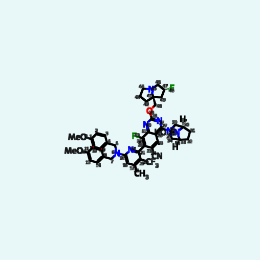 COc1ccc(CN(Cc2ccc(OC)cc2)c2cc(C)c(C(F)(F)F)c(-c3c(C#N)cc4c(N5C[C@H]6CC[C@@H](C5)N6C(=O)O)nc(OC[C@@]56CCCN5C[C@H](F)C6)nc4c3F)n2)cc1